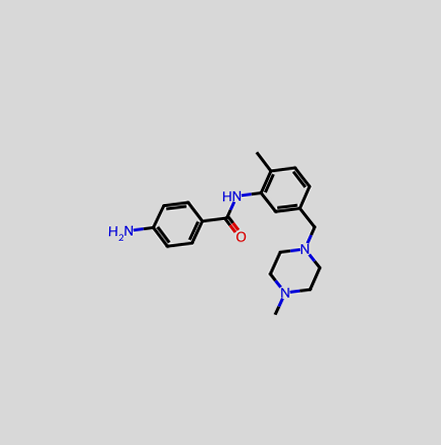 Cc1ccc(CN2CCN(C)CC2)cc1NC(=O)c1ccc(N)cc1